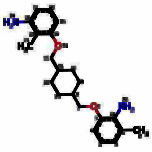 Cc1cccc(OCC2CCC(COc3cccc(N)c3C)CC2)c1N